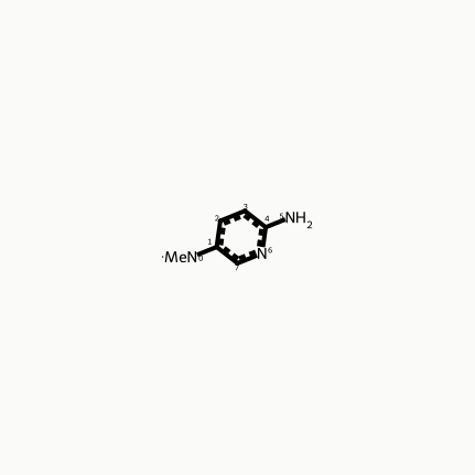 C[N]c1ccc(N)nc1